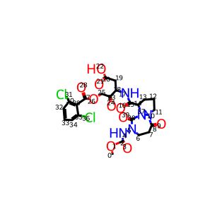 COC(=O)NN1CCC(=O)N2CCCC(C(=O)NC(CC(=O)O)C(=O)COC(=O)c3c(Cl)cccc3Cl)N2C1=O